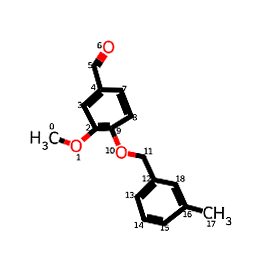 COc1cc(C=O)ccc1OCc1cccc(C)c1